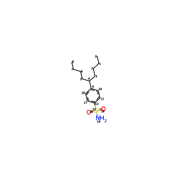 CCCCC(CCCC)c1ccc(S(N)(=O)=O)cc1